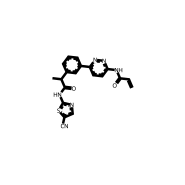 C=CC(=O)Nc1ccc(-c2cccc(C(C)C(=O)Nc3ncc(C#N)s3)c2)nn1